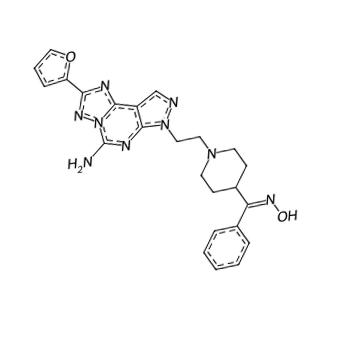 Nc1nc2c(cnn2CCN2CCC(C(=NO)c3ccccc3)CC2)c2nc(-c3ccco3)nn12